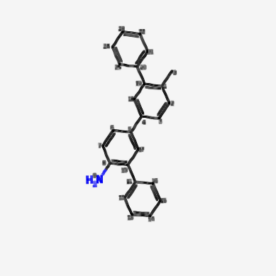 Cc1ccc(-c2ccc(N)c(-c3ccccc3)c2)cc1-c1ccccc1